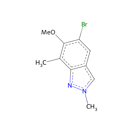 COc1c(Br)cc2cn(C)nc2c1C